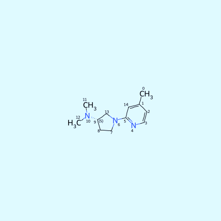 Cc1ccnc(N2CC[C@H](N(C)C)C2)c1